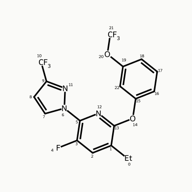 CCc1cc(F)c(-n2ccc(C(F)(F)F)n2)nc1Oc1cccc(OC(F)(F)F)c1